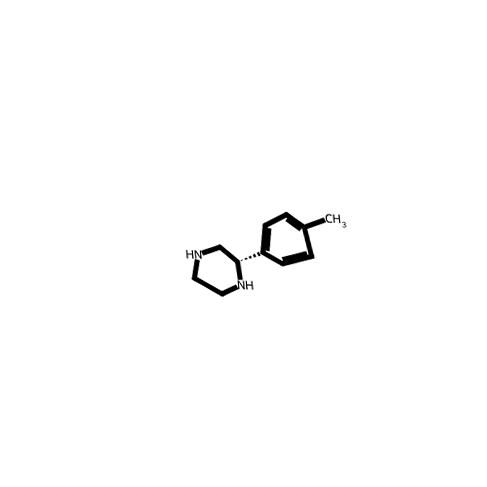 Cc1ccc([C@H]2CNCCN2)cc1